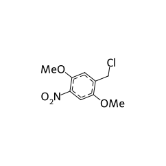 COc1cc([N+](=O)[O-])c(OC)cc1CCl